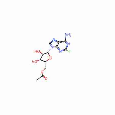 CC(=O)OC[C@H]1O[C@@H](n2cnc3c(N)nc(F)nc32)[C@H](O)[C@@H]1O